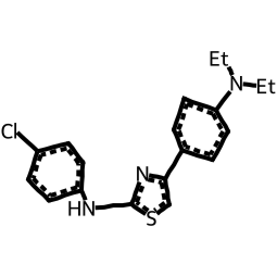 CCN(CC)c1ccc(-c2csc(Nc3ccc(Cl)cc3)n2)cc1